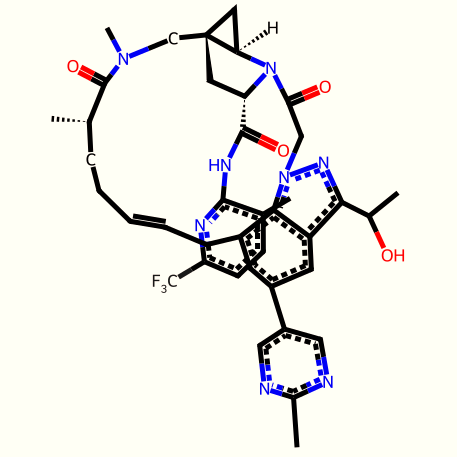 Cc1ncc(-c2cc3c4c(c2)c(C(C)O)nn4CC(=O)N2[C@H](C(=O)Nc4nc(C(F)(F)F)ccc4C)C[C@]4(C[C@@H]24)CN(C)C(=O)[C@@H](C)CC/C=C/C3)cn1